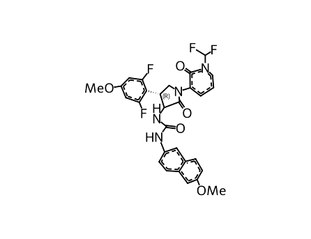 COc1cc(F)c([C@@H]2CN(c3cccn(C(F)F)c3=O)C(=O)C2NC(=O)Nc2ccc3cc(OC)ccc3c2)c(F)c1